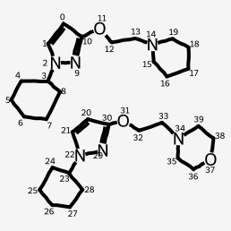 c1cn(C2CCCCC2)nc1OCCN1CCCCC1.c1cn(C2CCCCC2)nc1OCCN1CCOCC1